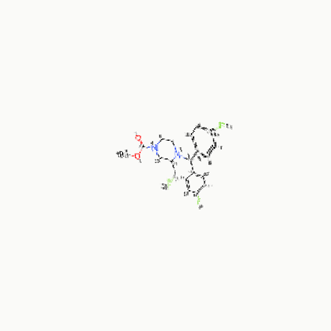 CC(C)(C)OC(=O)N1CCN(C(c2ccc(F)cc2)c2ccc(F)cc2)C(CF)C1